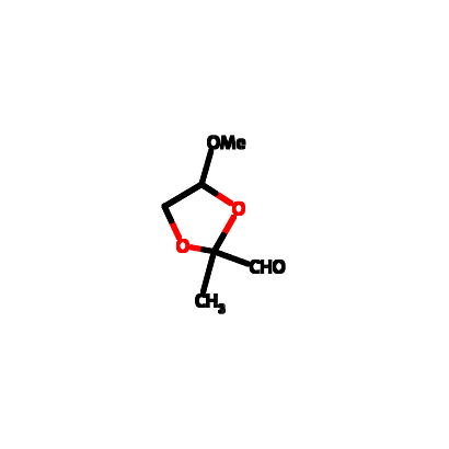 COC1COC(C)(C=O)O1